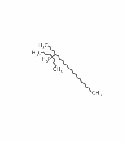 CCCCCCCCCCCCCCCCCC(CCCC)C(P)(CCCC)CCCC